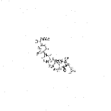 CNC(=O)c1ccc(N2CCN(Cc3ccc4c(=O)n(CC5CC5)c(=O)[nH]c4c3F)CC2)c(F)n1